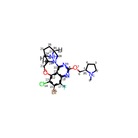 CN1CCC[C@@H]1COc1nc2c3c(c(Cl)c(Br)c(F)c3n1)OC[C@@H]1[C@@H]3CC[C@H](CN21)N3